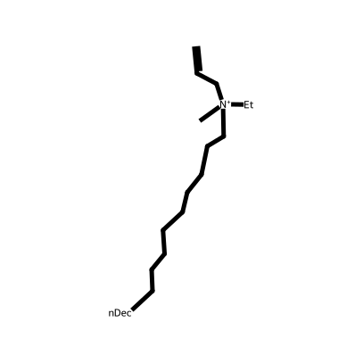 C=CC[N+](C)(CC)CCCCCCCCCCCCCCCCCCC